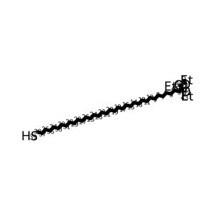 CCO[Si](CCCCCCCCCCCCCCCCCCCCCCCCCCCCCCCCCCCCS)(OCC)OCC